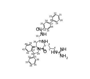 N=C(N)NCCC[C@H]1N[C@@H](CNC(=O)c2ccc(-c3ccccc3)cc2)CCN(CC(c2ccccc2)c2ccccc2)C1=O